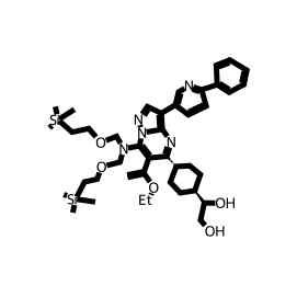 C=C(OCC)c1c(N(COCC[Si](C)(C)C)COCC[Si](C)(C)C)n2ncc(-c3ccc(-c4ccccc4)nc3)c2nc1[C@H]1CC[C@H](C(O)CO)CC1